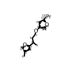 Cc1cc(C(C)CCOc2cc(C(C)C)on2)on1